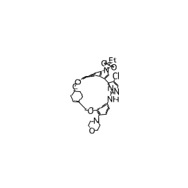 CCS(=O)(=O)n1cc2c3ccc(cc31)OCC1CCC(CC1)COc1cc(ccc1N1CCOCC1)Nc1ncc(Cl)c-2n1